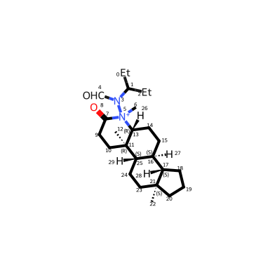 CCC(CC)N(C=O)[N+]1(C)C(=O)CC[C@@]2(C)[C@H]1CC[C@H]1[C@@H]3CCC[C@@]3(C)CC[C@@H]12